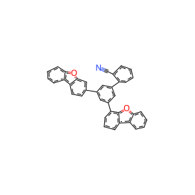 N#Cc1ccccc1-c1cc(-c2ccc3c(c2)oc2ccccc23)cc(-c2cccc3c2oc2ccccc23)c1